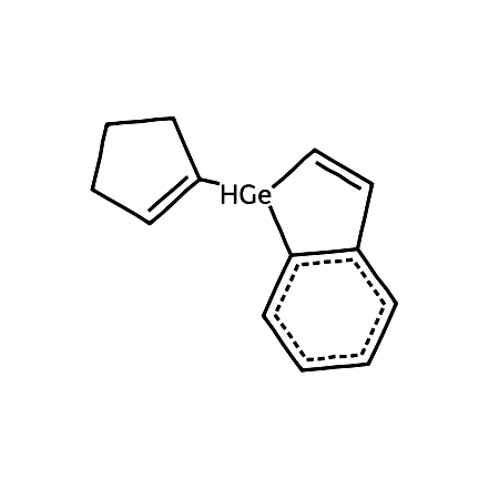 C1=[CH][GeH]([C]2=CCCC2)[c]2ccccc21